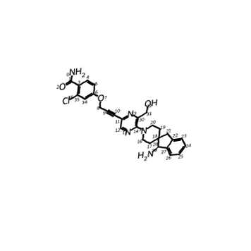 NC(=O)c1ccc(OCC#Cc2cnc(N3CCC4(CC3)Cc3ccccc3[C@H]4N)c(CO)n2)cc1Cl